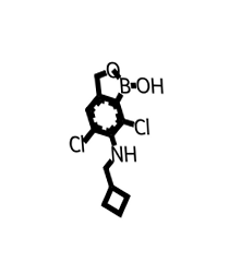 OB1OCc2cc(Cl)c(NCC3CCC3)c(Cl)c21